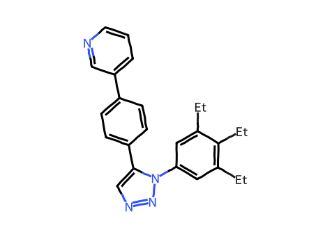 CCc1cc(-n2nncc2-c2ccc(-c3cccnc3)cc2)cc(CC)c1CC